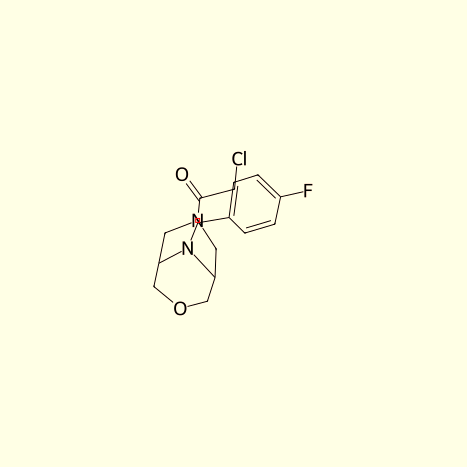 O=C(CCl)N1CC2COCC(C1)N2Cc1ccc(F)cc1